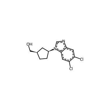 OC[C@@H]1CC[C@H](n2cnc3cc(Cl)c(Cl)cc32)C1